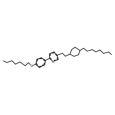 CCCCCCCCC1CCC(CCc2ccc(-c3ccc(OCCCCCCC)cc3)nc2)CC1